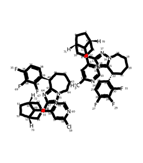 Cc1cc(N2C[C@H]3CC[C@@H](C2)C3Nc2nc3n(n2)CCCC[C@@H]3c2ccc(F)c(F)c2F)ncn1.Fc1ccc([C@H]2CCCCn3nc(NC4[C@@H]5CC[C@H]4CN(c4cc(Cl)ncn4)C5)nc32)c(F)c1F